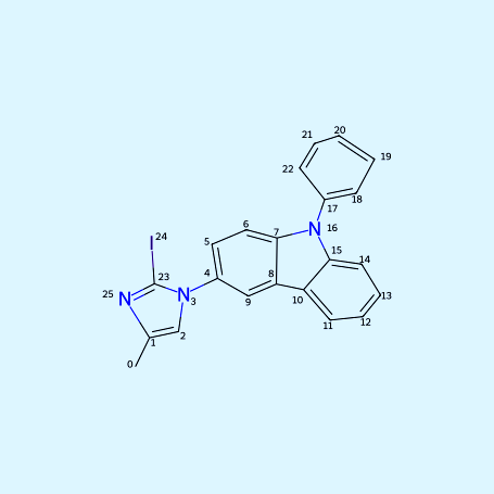 Cc1cn(-c2ccc3c(c2)c2ccccc2n3-c2ccccc2)c(I)n1